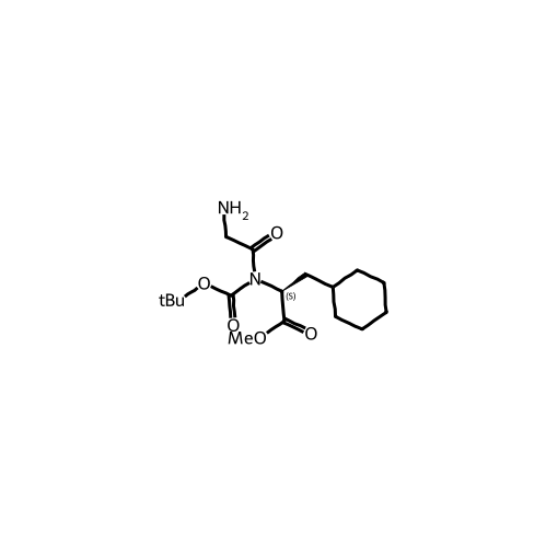 COC(=O)[C@H](CC1CCCCC1)N(C(=O)CN)C(=O)OC(C)(C)C